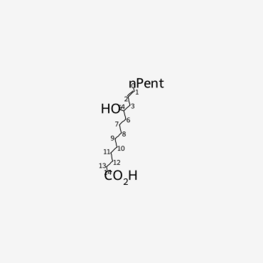 CCCCCC=CCC(O)CCCCCCCCC(=O)O